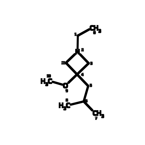 CCN1CC(CC(C)C)(OC)C1